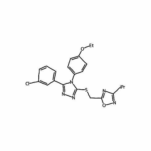 CCOc1ccc(-n2c(SCc3nc(C(C)C)no3)nnc2-c2cccc(Cl)c2)cc1